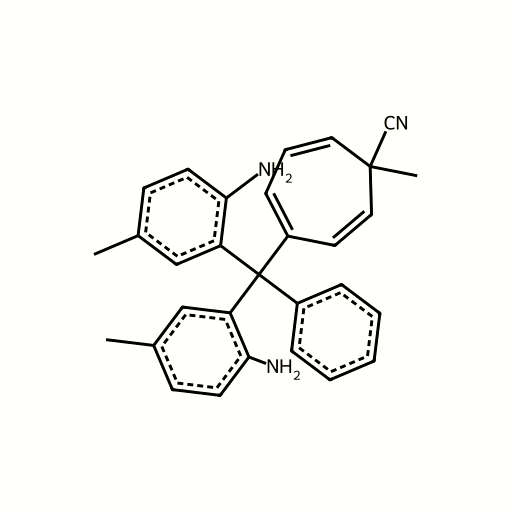 Cc1ccc(N)c(C(C2=CC=CC(C)(C#N)C=C2)(c2ccccc2)c2cc(C)ccc2N)c1